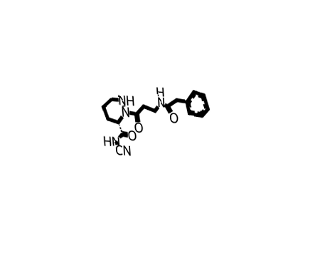 N#CNC(=O)[C@@H]1CCCNN1C(=O)CCNC(=O)Cc1ccccc1